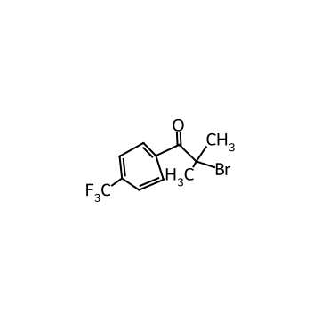 CC(C)(Br)C(=O)c1ccc(C(F)(F)F)cc1